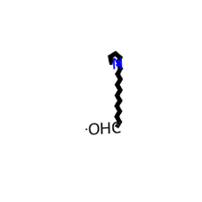 O=[C]CCCCCCCCCCCN1CCCC1